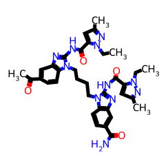 CCn1nc(C)cc1C(=O)Nc1nc2cc(C(C)=O)ccc2n1CCCCn1c(NC(=O)c2cc(C)nn2CC)nc2cc(C(N)=O)ccc21